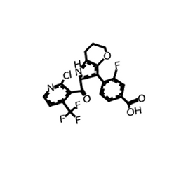 O=C(O)c1ccc(-c2c(C(=O)c3c(C(F)(F)F)ccnc3Cl)[nH]c3c2OCCC3)c(F)c1